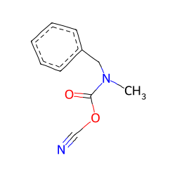 CN(Cc1ccccc1)C(=O)OC#N